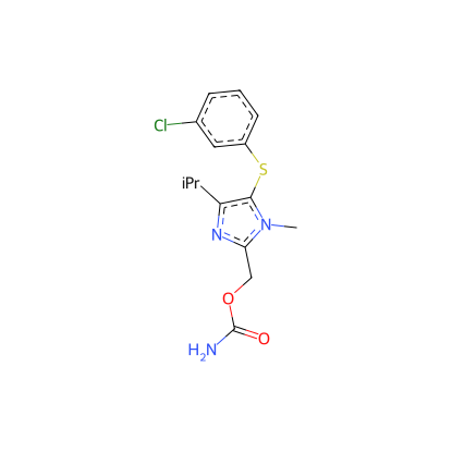 CC(C)c1nc(COC(N)=O)n(C)c1Sc1cccc(Cl)c1